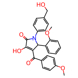 COc1ccc(C(=O)C2=C(O)C(=O)N(c3ccc(CO)cc3)C2c2ccccc2OC)cc1